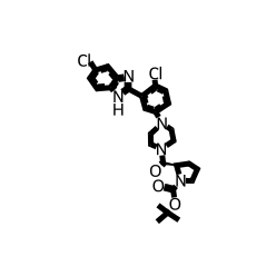 CC(C)(C)OC(=O)N1CCC[C@@H]1C(=O)N1CCN(c2ccc(Cl)c(-c3nc4cc(Cl)ccc4[nH]3)c2)CC1